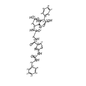 O=C(O)C[C@H](NC(=O)CNC(=O)c1csc(NC(=O)NCc2ccccc2)n1)C(=O)N[C@H](C(=O)O)c1ccccc1